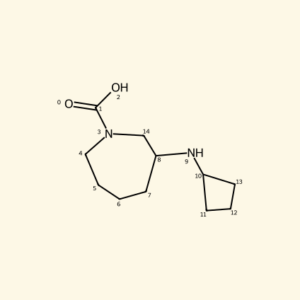 O=C(O)N1CCCCC(NC2CCC2)C1